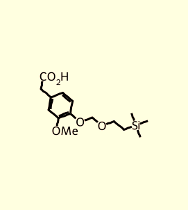 COc1cc(CC(=O)O)ccc1OCOCC[Si](C)(C)C